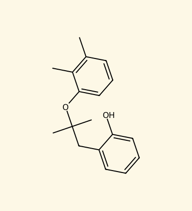 Cc1cccc(OC(C)(C)Cc2ccccc2O)c1C